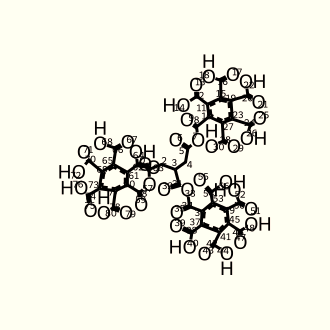 O=C(CC(CC(=O)OC(=O)c1c(C(=O)O)c(C(=O)O)c(C(=O)O)c(C(=O)O)c1C(=O)O)C(=O)OC(=O)c1c(C(=O)O)c(C(=O)O)c(C(=O)O)c(C(=O)O)c1C(=O)O)OC(=O)c1c(C(=O)O)c(C(=O)O)c(C(=O)O)c(C(=O)O)c1C(=O)O